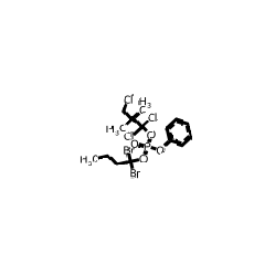 CCCC(Br)(Br)OP(=O)(Oc1ccccc1)OC(Cl)(Cl)C(C)(C)CCl